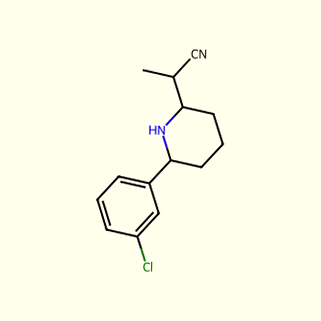 CC(C#N)C1CCCC(c2cccc(Cl)c2)N1